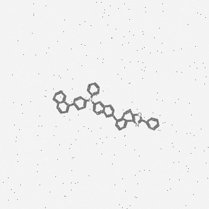 c1ccc(-c2nc3c(ccc4c(-c5ccc6cc(N(c7ccccc7)c7ccc(-c8cccc9ccccc89)cc7)ccc6c5)cccc43)o2)cc1